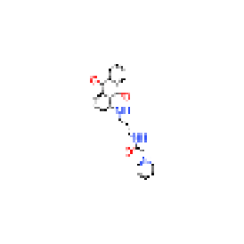 O=C(C[n+]1ccccc1)NCCCNc1cccc2c1C(=O)c1ccccc1C2=O